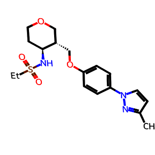 CCS(=O)(=O)N[C@H]1CCOC[C@@H]1COc1ccc(-n2ccc(C)n2)cc1